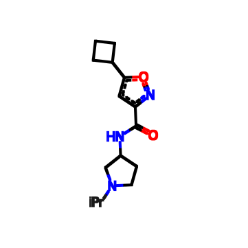 CC(C)N1CCC(NC(=O)c2cc(C3CCC3)on2)C1